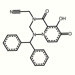 N#CCN1CN(C(c2ccccc2)c2ccccc2)n2ccc(=O)c(O)c2C1=O